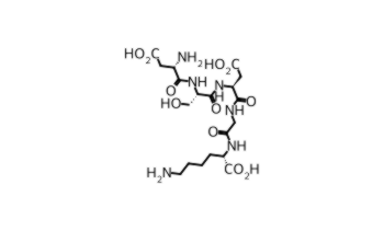 NCCCC[C@H](NC(=O)CNC(=O)[C@H](CC(=O)O)NC(=O)[C@H](CO)NC(=O)[C@@H](N)CC(=O)O)C(=O)O